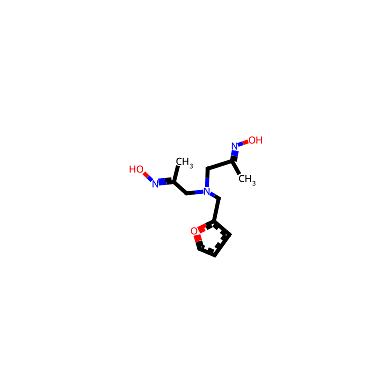 C/C(CN(C/C(C)=N/O)Cc1ccco1)=N\O